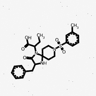 CCC(C(=O)O)N1C(=O)C(Cc2ccccc2)NC12CCN(S(=O)(=O)c1cccc(C)c1)CC2